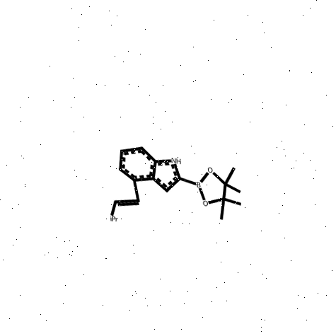 CC(C)/C=C/c1cccc2[nH]c(B3OC(C)(C)C(C)(C)O3)cc12